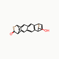 O=C1SC2C=CC1c1cc3cc4c(cc3cc12)C1C=CC4C(O)S1